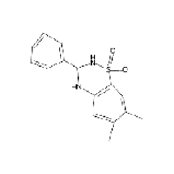 Cc1cc2c(cc1C)S(=O)(=O)NC(c1ccccc1)N2